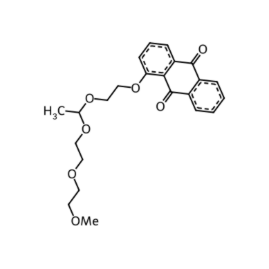 COCCOCCOC(C)OCCOc1cccc2c1C(=O)c1ccccc1C2=O